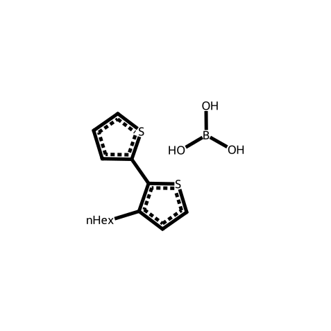 CCCCCCc1ccsc1-c1cccs1.OB(O)O